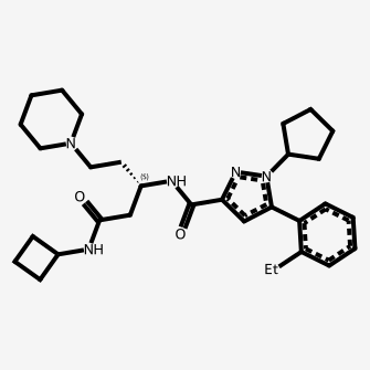 CCc1ccccc1-c1cc(C(=O)N[C@@H](CCN2CCCCC2)CC(=O)NC2CCC2)nn1C1CCCC1